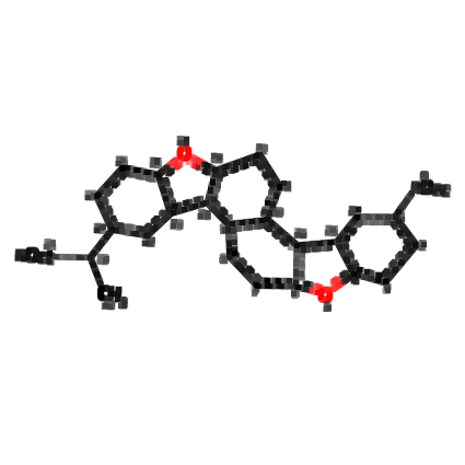 CCCCCCCCCCc1ccc2oc3ccc4c(ccc5oc6ccc(C(C)CCCCCCCC)cc6c54)c3c2c1